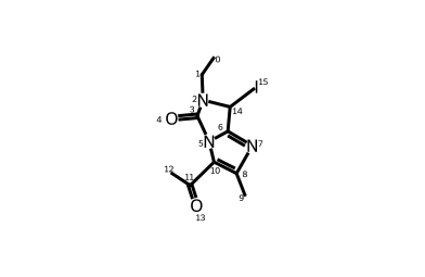 CCN1C(=O)n2c(nc(C)c2C(C)=O)C1I